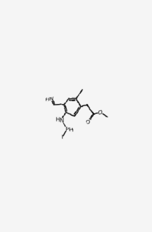 COC(=O)Cc1cc(NPI)c(C=N)cc1C